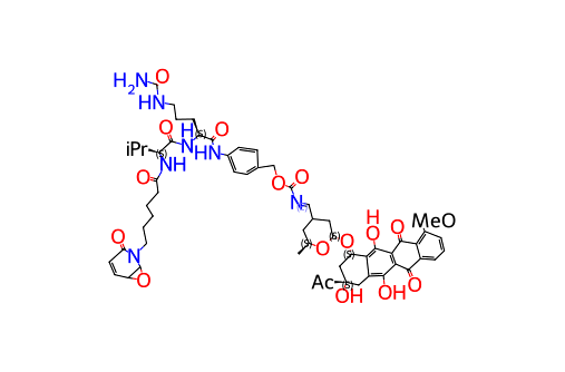 COc1cccc2c1C(=O)c1c(O)c3c(c(O)c1C2=O)C[C@@](O)(C(C)=O)C[C@@H]3O[C@H]1CC(/C=N/C(=O)OCc2ccc(NC(=O)[C@H](CCCNC(N)=O)NC(=O)[C@@H](NC(=O)CCCCCN3C(=O)C=CC4OC43)C(C)C)cc2)C[C@H](C)O1